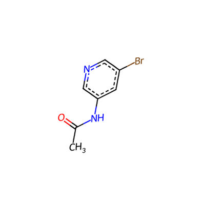 CC(=O)Nc1cncc(Br)c1